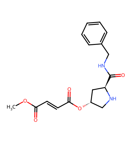 COC(=O)/C=C/C(=O)O[C@H]1CN[C@H](C(=O)NCc2ccccc2)C1